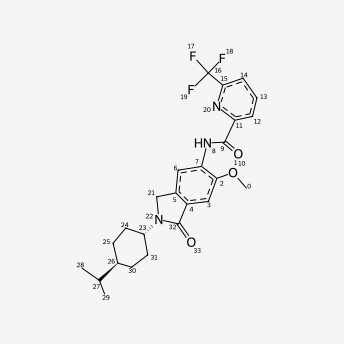 COc1cc2c(cc1NC(=O)c1cccc(C(F)(F)F)n1)CN([C@H]1CC[C@H](C(C)C)CC1)C2=O